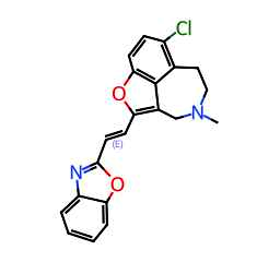 CN1CCc2c(Cl)ccc3oc(/C=C/c4nc5ccccc5o4)c(c23)C1